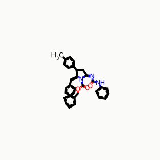 Cc1ccc(C2C/C(=N/C(=O)Nc3ccccc3)N(C(=O)OCc3ccccc3)/C2=C\c2ccccc2)cc1